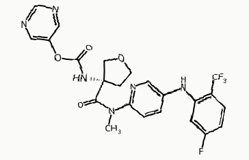 CN(C(=O)[C@]1(NC(=O)Oc2cncnc2)CCOC1)c1ccc(Nc2cc(F)ccc2C(F)(F)F)cn1